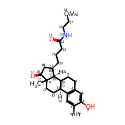 CCCc1cc2c(cc1O)CCC1[C@@H]2CCC2(C)C(=O)C[C@@H](CCCC(=O)NCCOC)[C@@H]12